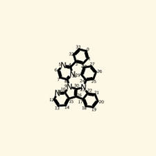 c1ccc(-c2nccc(-n3c4ncccc4c4c5ccccc5n(-c5ccccc5)c43)n2)cc1